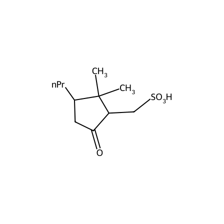 CCCC1CC(=O)C(CS(=O)(=O)O)C1(C)C